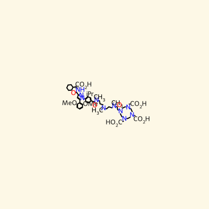 COc1cccc(OC)c1-c1cc(C(=O)N[C@H](C(=O)O)C2CCCCC2)nn1-c1ccc(C(=O)N(C)CCCN(C)CCCN(C)C(=O)CN2CCN(CC(=O)O)CCN(CC(=O)O)CCN(CC(=O)O)CC2)cc1C(C)C